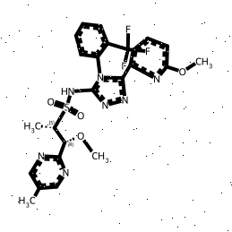 COc1cccc(-c2nnc(NS(=O)(=O)[C@@H](C)[C@H](OC)c3ncc(C)cn3)n2-c2ccccc2C(F)(F)F)n1